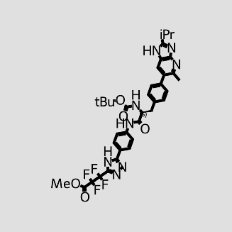 COC(=O)C(F)(F)C(F)(F)c1nnc(-c2ccc(NC(=O)[C@H](Cc3ccc(-c4cc5[nH]c(C(C)C)nc5nc4C)cc3)NC(=O)OC(C)(C)C)cc2)[nH]1